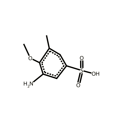 COc1c(C)cc(S(=O)(=O)O)cc1N